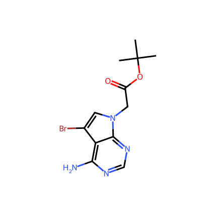 CC(C)(C)OC(=O)Cn1cc(Br)c2c(N)ncnc21